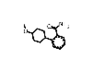 COC1CCC(c2ccccc2C(N)=O)CC1